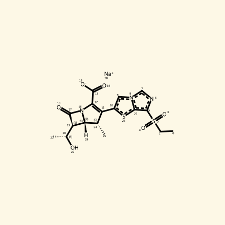 CCS(=O)(=O)c1ncn2cc(C3=C(C(=O)[O-])N4C(=O)[C@H]([C@@H](C)O)[C@H]4[C@H]3C)sc12.[Na+]